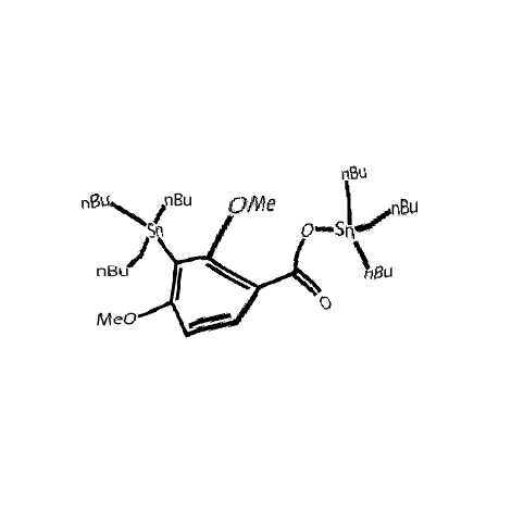 CCC[CH2][Sn]([CH2]CCC)([CH2]CCC)[O]C(=O)c1ccc(OC)[c]([Sn]([CH2]CCC)([CH2]CCC)[CH2]CCC)c1OC